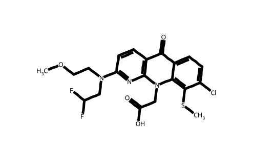 COCCN(CC(F)F)c1ccc2c(=O)c3ccc(Cl)c(SC)c3n(CC(=O)O)c2n1